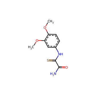 COc1ccc(NC(=S)C(N)=O)cc1OC